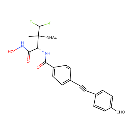 CC(=O)NC(C)(C(F)F)[C@H](NC(=O)c1ccc(C#Cc2ccc(C=O)cc2)cc1)C(=O)NO